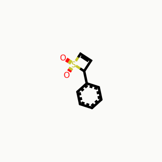 O=S1(=O)C=CC1c1ccccc1